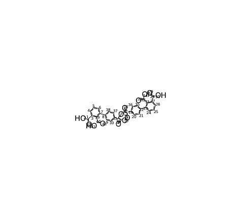 O=C(O)c1cccc(-c2ccc(S(=O)(=O)OS(=O)(=O)c3ccc(-c4cccc(C(=O)O)c4C(=O)O)cc3)cc2)c1C(=O)O